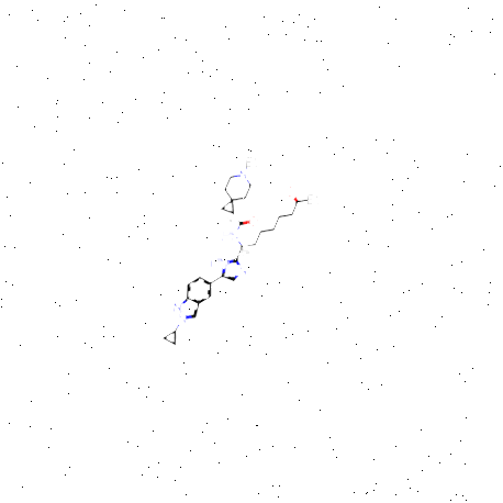 CCC(=O)CCCCC[C@H](NC(=O)[C@H]1CC12CCN(CC)CC2)c1ncc(-c2ccc3nn(C4CC4)cc3c2)[nH]1